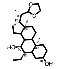 CC[C@@H]1C2C[C@H](O)CC[C@]2(C)C2CC[C@@]3(C)C(CC[C@@H]3[C@H](C)C3OCCO3)C2[C@@H]1O